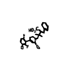 CC(C)(CN1CCC(c2c(F)ccc(Cl)c2F)=CC1=O)C(Cc1ccccc1)C(=O)O